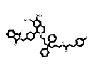 COc1cc2c(cc1OC)C(C1CCC(CN3C(=O)c4ccccc4C3=O)CC1)N(CCCC(CCCNC(=O)CCc1ccc(F)cc1)(c1ccccc1)c1ccccc1)CC2